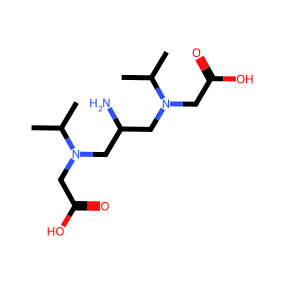 CC(C)N(CC(=O)O)CC(N)CN(CC(=O)O)C(C)C